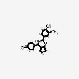 Cc1cc(C(=O)NC(c2ccc(Cl)cc2)c2ccsc2)ccc1C#N